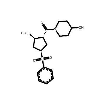 O=C(O)[C@@H]1C[C@H](S(=O)(=O)c2ccccc2)C[C@H]1C(=O)N1CCC(O)CC1